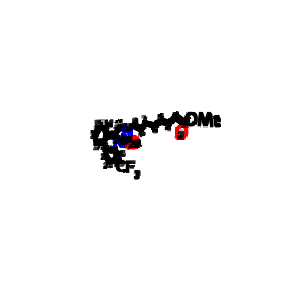 COC(=O)CCCCCCCN1CC(c2ccccc2)N(c2cccc(C(F)(F)F)c2)C1=O